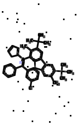 Cc1cc2c(cc1C(C)(C)C)-c1cc(C(C)(C)C)c(C)[c](/[Zr]([C]3=CC=CC3)=[C](/c3ccccc3)c3cccc(Cl)c3)c1C2